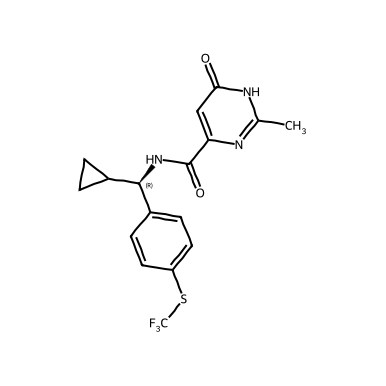 Cc1nc(C(=O)N[C@@H](c2ccc(SC(F)(F)F)cc2)C2CC2)cc(=O)[nH]1